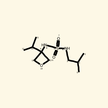 CC(C)CNS(=O)(=O)NC1(C(C)C)COC1